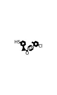 Cc1ccc(Cl)cc1N1CCN(C(=O)[C@H]2CC2c2cccc(S)c2)CC1